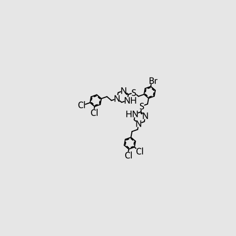 Clc1ccc(CCN2CN=C(SCc3ccc(Br)cc3CSC3=NCN(CCc4ccc(Cl)c(Cl)c4)CN3)NC2)cc1Cl